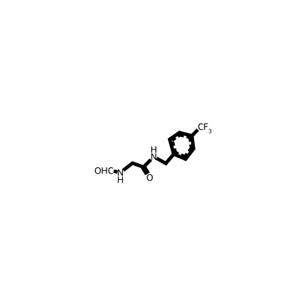 O=CNCC(=O)NCc1ccc(C(F)(F)F)cc1